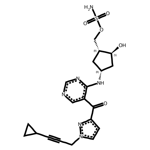 NS(=O)(=O)OC[C@H]1C[C@@H](Nc2ncncc2C(=O)c2ccn(CC#CC3CC3)n2)C[C@@H]1O